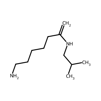 C=C(CCCCCN)NCC(C)C